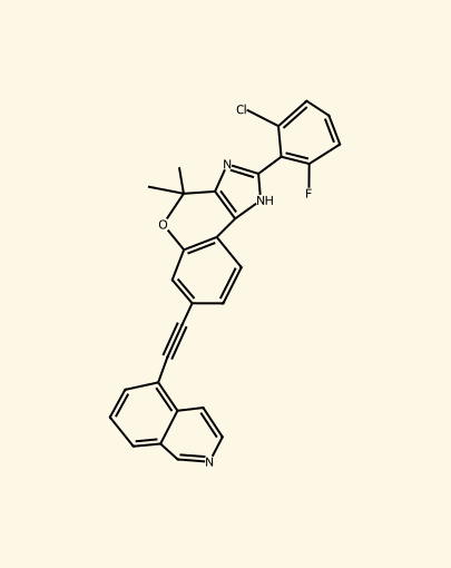 CC1(C)Oc2cc(C#Cc3cccc4cnccc34)ccc2-c2[nH]c(-c3c(F)cccc3Cl)nc21